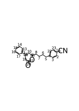 N#Cc1ccc(CCCC[C@@H]2C[C@@H](c3ccccc3)CC(=O)O2)cc1